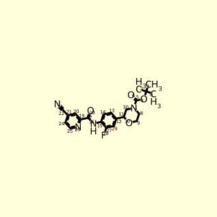 CC(C)(C)OC(=O)N1CCOC(c2ccc(NC(=O)c3cc(C#N)ccn3)c(F)c2)C1